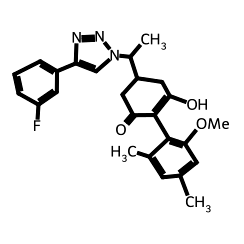 COc1cc(C)cc(C)c1C1=C(O)CC(C(C)n2cc(-c3cccc(F)c3)nn2)CC1=O